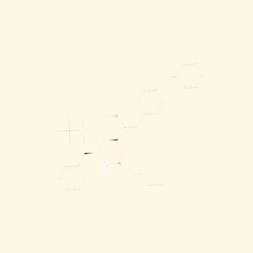 CCCCOC(=O)N[C@@H](Cc1ccccc1)[C@H](C[C@@H](Cc1ccc(Oc2ccccc2)cc1)C(=O)O)O[Si](C)(C)C(C)(C)C